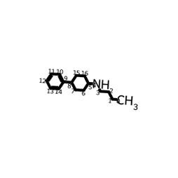 CCCCNC1CCC(c2ccccc2)CC1